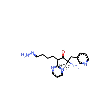 NN=CCCCC(C(=O)C(N)(Cc1cccnc1)C(=O)O)c1ncccn1